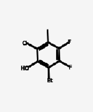 CCc1c(O)c(Cl)c(C)c(F)c1F